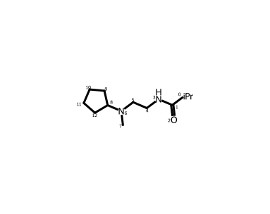 CC(C)C(=O)NCCN(C)C1CCCC1